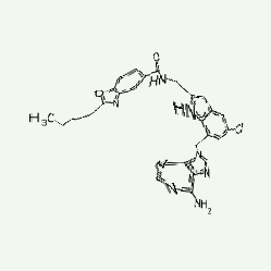 CCCCc1nc2cc(C(=O)NCc3cc4cc(Cl)cc(Cn5cnc6c(N)ncnc65)c4[nH]3)ccc2o1